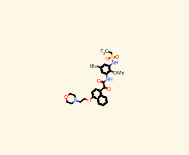 COc1c(NC(=O)C(=O)c2ccc(OCCN3CCOCC3)c3ccccc23)cc(C(C)(C)C)cc1NS(=O)(=O)CC(F)(F)F